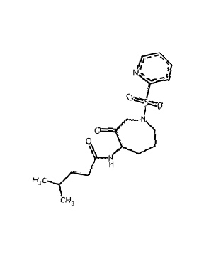 CC(C)CCC(=O)NC1CCCN(S(=O)(=O)c2ccccn2)CC1=O